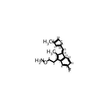 CC1=C(CCON)c2cc(F)ccc2C1=Cc1cc(C)cs1